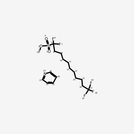 O=S(=O)(OF)C(F)(F)CCCCCCCCCC(F)(F)F.c1ccncc1